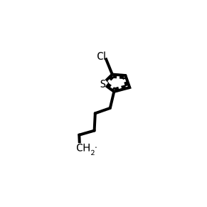 [CH2]CCCCc1ccc(Cl)s1